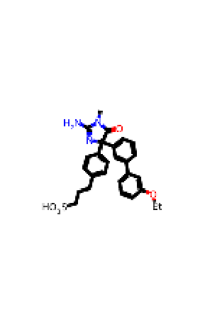 CCOc1cccc(-c2cccc(C3(c4ccc(CCCS(=O)(=O)O)cc4)N=C(N)N(C)C3=O)c2)c1